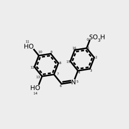 O=S(=O)(O)c1ccc(/N=C\c2ccc(O)cc2O)cc1